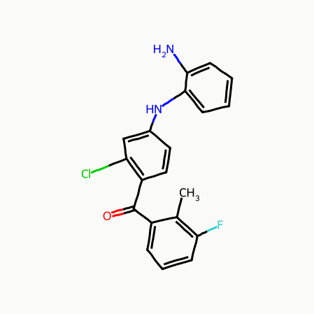 Cc1c(F)cccc1C(=O)c1ccc(Nc2ccccc2N)cc1Cl